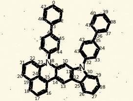 c1ccc(-c2ccc(N3c4cc5c(cc4-c4cccc6cccc3c46)c3ccccc3n5-c3ccc(-c4ccccc4)cc3)cc2)cc1